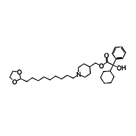 O=C(OCC1CCN(CCCCCCCCCC2OCCO2)CC1)C(O)(c1ccccc1)C1CCCCC1